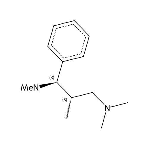 [CH2-][NH2+][C@@H](c1ccccc1)[C@@H](C)CN(C)C